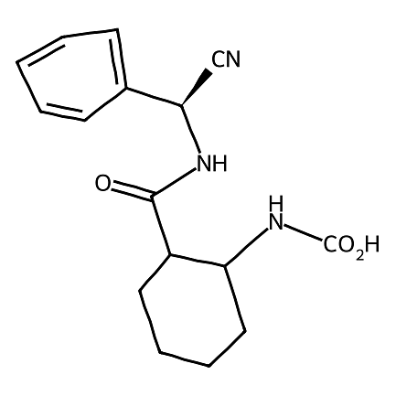 N#C[C@@H](NC(=O)C1CCCCC1NC(=O)O)c1ccccc1